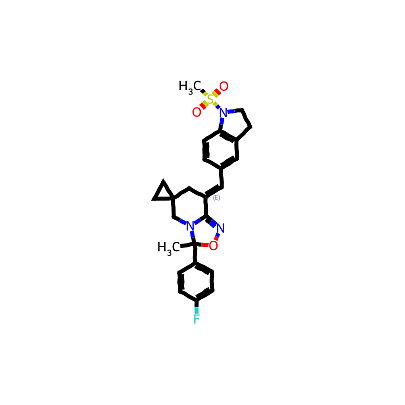 CC1(c2ccc(F)cc2)ON=C2/C(=C/c3ccc4c(c3)CCN4S(C)(=O)=O)CC3(CC3)CN21